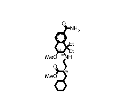 CCC1(CC)c2cc(C(N)=O)ccc2C[C@H](OC)[C@@H]1NCC[C@@H](CC1CCCCC1)C(=O)OC